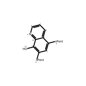 CCCCCc1cc(CCCCC)c2cccnc2c1O